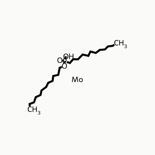 CCCCCCCCCCCCOP(=O)(O)CCCCCCCCCCCC.[Mo]